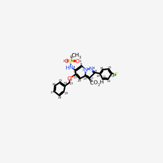 CS(=O)(=O)Nc1cn2nc(-c3ccc(F)cc3)c(C(=O)O)c2cc1OCc1ccccc1